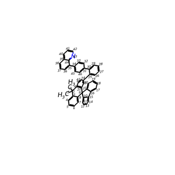 CC1(C)c2ccccc2C2(c3ccccc3-c3ccccc32)c2cc(-c3ccccc3-c3ccc(-c4cccc5cccnc45)cc3)ccc21